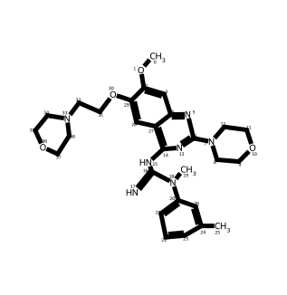 COc1cc2nc(N3CCOCC3)nc(NC(=N)N(C)c3cccc(C)c3)c2cc1OCCN1CCOCC1